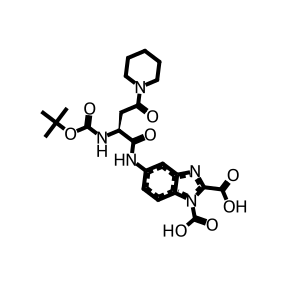 CC(C)(C)OC(=O)N[C@@H](CC(=O)N1CCCCC1)C(=O)Nc1ccc2c(c1)nc(C(=O)O)n2C(=O)O